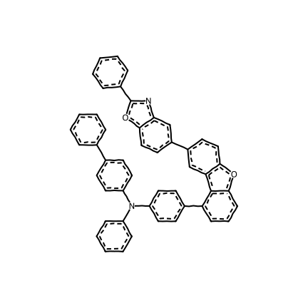 c1ccc(-c2ccc(N(c3ccccc3)c3ccc(-c4cccc5oc6ccc(-c7ccc8oc(-c9ccccc9)nc8c7)cc6c45)cc3)cc2)cc1